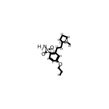 CCCOc1ccc(S(N)(=O)=O)c(CCC2CCCN2C)c1